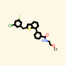 CCOCCNC(=O)c1cccc(-c2cccc3cc(Cc4cc(F)cc(Cl)c4)sc23)c1